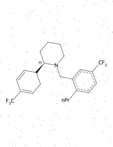 CCCc1ccc(C(F)(F)F)cc1CN1CCCC[C@@H]1C1C=CC(C(F)(F)F)=CC1